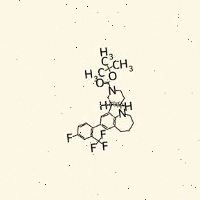 CC(C)(C)OC(=O)N1CC[C@H]2[C@@H](C1)c1cc(-c3ccc(F)cc3C(F)(F)F)cc3c1N2CCCC3